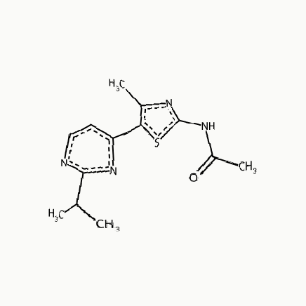 CC(=O)Nc1nc(C)c(-c2ccnc(C(C)C)n2)s1